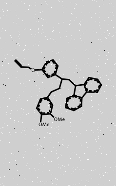 C=CCOc1cccc(C([CH]Cc2ccc(OC)c(OC)c2)CC2c3ccccc3-c3ccccc32)c1